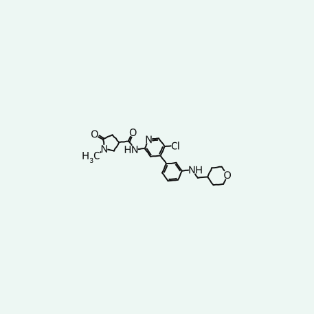 CN1CC(C(=O)Nc2cc(-c3cccc(NCC4CCOCC4)c3)c(Cl)cn2)CC1=O